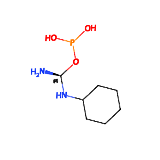 N[C@H](NC1CCCCC1)OP(O)O